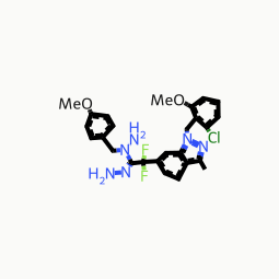 COc1ccc(CN(N)/C(=N\N)C(F)(F)c2ccc3c(C)nn(Cc4c(Cl)cccc4OC)c3c2)cc1